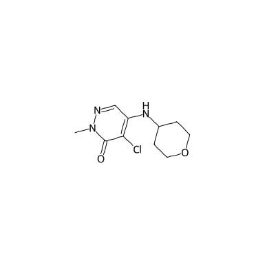 Cn1ncc(NC2CCOCC2)c(Cl)c1=O